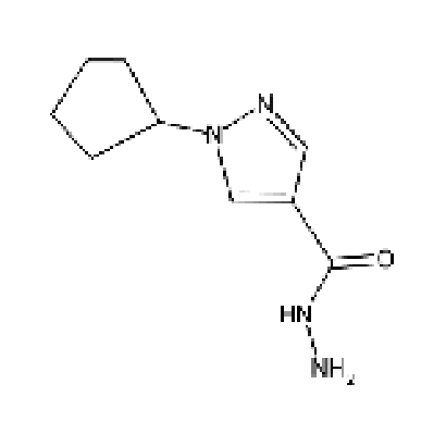 NNC(=O)c1cnn(C2CCCC2)c1